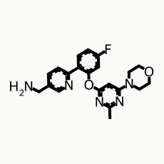 Cc1nc(Oc2cc(F)ccc2-c2ccc(CN)cn2)cc(N2CCOCC2)n1